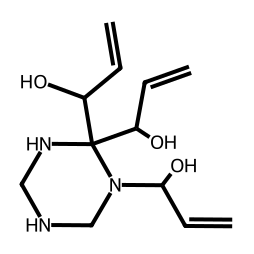 C=CC(O)N1CNCNC1(C(O)C=C)C(O)C=C